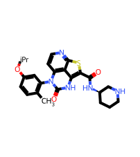 Cc1ccc(OC(C)C)cc1N1C(=O)Nc2c(C(=O)N[C@@H]3CCCNC3)sc3nccc1c23